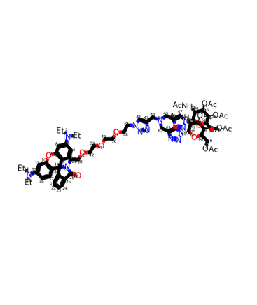 CCN(CC)c1ccc2c(c1)Oc1cc(N(CC)CC)ccc1C21c2ccccc2C(=O)N1CCOCCOCCOCCn1cc(CN(Cc2cn([C@H]3OC(COC(C)=O)[C@@H](OC(C)=O)[C@H](OC(C)=O)C3NC(C)=O)nn2)Cc2cn([C@H]3OC(COC(C)=O)[C@H](OC(C)=O)[C@@H](OC(C)=O)C3NC(C)=O)nn2)nn1